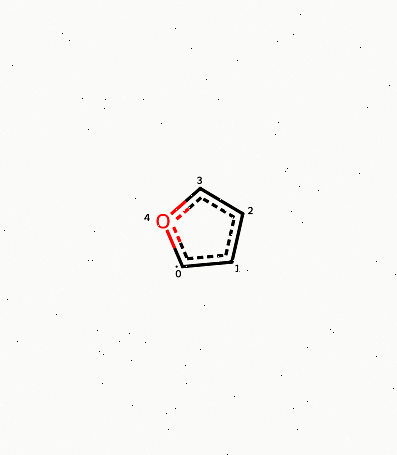 [c]1ccco1